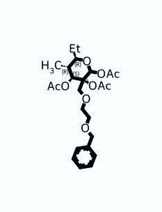 CC[C@H]1OC(OC(C)=O)[C@@](COCCOCc2ccccc2)(OC(C)=O)[C@@H](OC(C)=O)[C@@H]1C